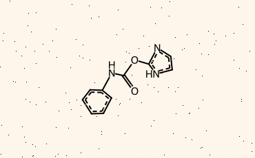 O=C(Nc1ccccc1)Oc1ncc[nH]1